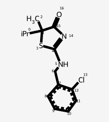 CC(C)C1(C)SC(NCc2ccccc2Cl)=NC1=O